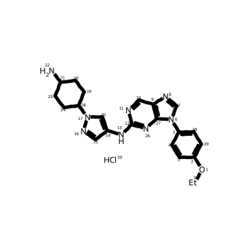 CCOc1ccc(-n2cnc3cnc(Nc4cnn(C5CCC(N)CC5)c4)nc32)cc1.Cl